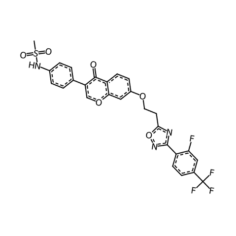 CS(=O)(=O)Nc1ccc(-c2coc3cc(OCCc4nc(-c5ccc(C(F)(F)F)cc5F)no4)ccc3c2=O)cc1